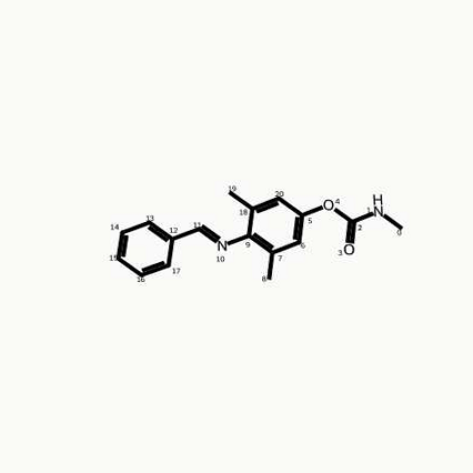 CNC(=O)Oc1cc(C)c(N=Cc2ccccc2)c(C)c1